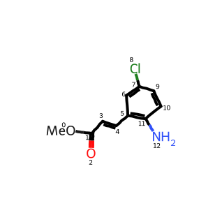 COC(=O)/C=C/c1cc(Cl)ccc1N